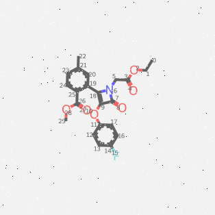 CCOC(=O)CN1C(=O)C(Oc2ccc(F)cc2)=C1c1cc(C)ccc1C(=O)OC